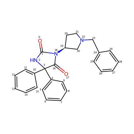 O=C1NC(c2ccccc2)(c2ccccc2)C(=O)N1[C@H]1CCN(Cc2ccccc2)C1